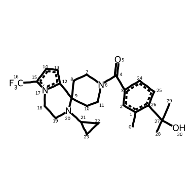 Cc1cc(C(=O)N2CCC3(CC2)c2ccc(C(F)(F)F)n2CCN3C2CC2)ccc1C(C)(C)O